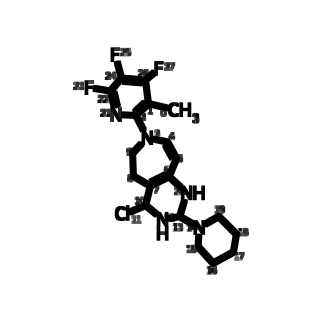 Cc1c(N2C=CC3=C(CC2)C(Cl)NC(N2CCCCC2)N3)nc(F)c(F)c1F